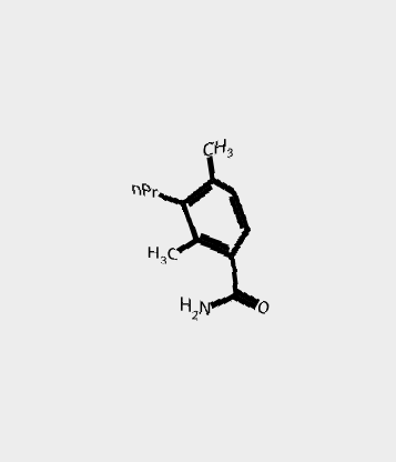 CCCc1c(C)ccc(C(N)=O)c1C